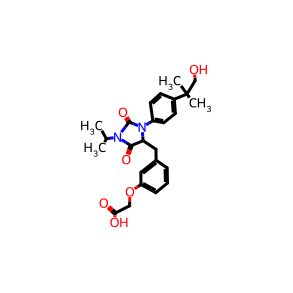 CC(C)N1C(=O)C(Cc2cccc(OCC(=O)O)c2)N(c2ccc(C(C)(C)CO)cc2)C1=O